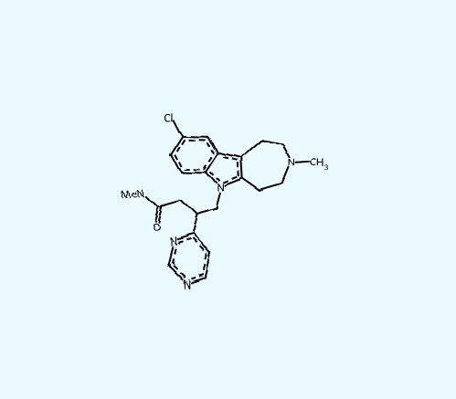 CNC(=O)CC(Cn1c2c(c3cc(Cl)ccc31)CCN(C)CC2)c1ccncn1